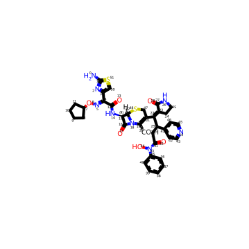 Nc1nc(C(=NOC2CCCC2)C(=O)N[C@@H]2C(=O)N3C(C(=O)O)=C(C(=C4CCNC4=O)C(CC(=O)N(O)c4ccccc4)c4ccncc4)CS[C@H]23)cs1